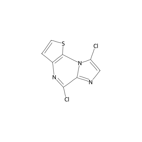 Clc1nc2ccsc2n2c(Cl)cnc12